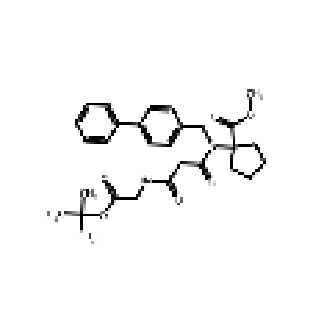 COC(=O)C1(N(Cc2ccc(-c3ccccc3)cc2)C(=O)CC(=O)NCC(=O)OC(C)(C)C)CCCC1